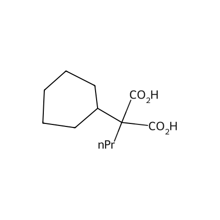 CCCC(C(=O)O)(C(=O)O)C1CCCCC1